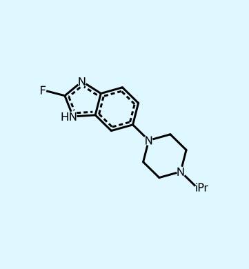 CC(C)N1CCN(c2ccc3nc(F)[nH]c3c2)CC1